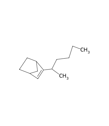 CCCCC(C)C1=CC2CCC1C2